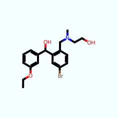 CCOc1cccc(C(O)c2cc(Br)ccc2CN(C)CCO)c1